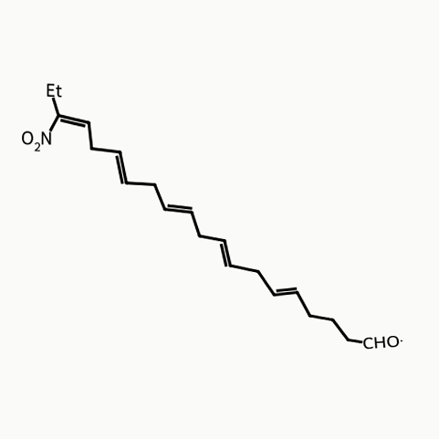 CC/C(=C/C/C=C/C/C=C/C/C=C/C/C=C/CCC[C]=O)[N+](=O)[O-]